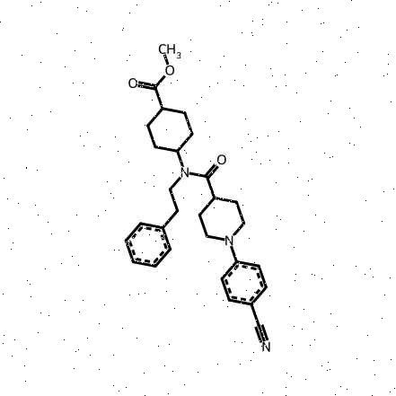 COC(=O)C1CCC(N(CCc2ccccc2)C(=O)C2CCN(c3ccc(C#N)cc3)CC2)CC1